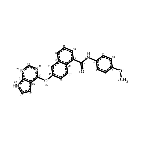 COc1ccc(NC(=O)c2cccc3cc(Oc4ncnc5[nH]ccc45)ccc23)cc1